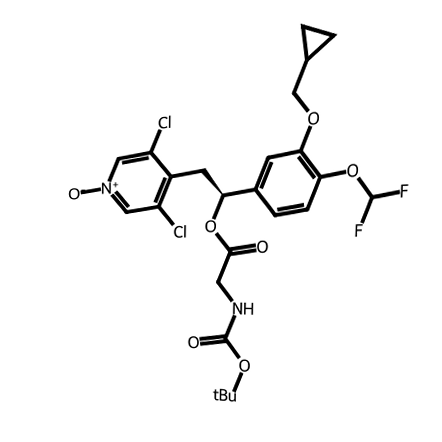 CC(C)(C)OC(=O)NCC(=O)O[C@@H](Cc1c(Cl)c[n+]([O-])cc1Cl)c1ccc(OC(F)F)c(OCC2CC2)c1